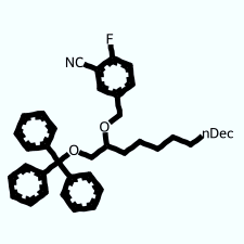 CCCCCCCCCCCCCCCC(COC(c1ccccc1)(c1ccccc1)c1ccccc1)OCc1ccc(F)c(C#N)c1